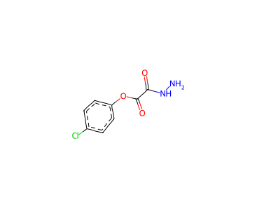 NNC(=O)C(=O)Oc1ccc(Cl)cc1